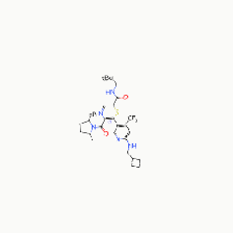 C=N/C(C(=O)N1C(C)CCC1CCC)=C(\SCC(=O)NCC(C)(C)C)c1cnc(NCC2CCC2)cc1C(F)(F)F